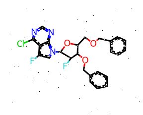 Fc1cn(C2OC(COCc3ccccc3)C(OCc3ccccc3)C2F)c2ncnc(Cl)c12